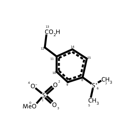 COS(=O)(=O)[O-].C[S+](C)c1ccc(CC(=O)O)cc1